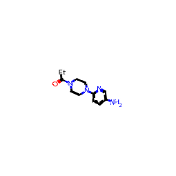 CCC(=O)N1CCN(c2ccc(N)cn2)CC1